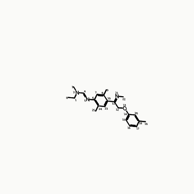 CCN(C)C=Nc1cc(C)c(C(COc2cccc(C)c2)=NC)cc1C